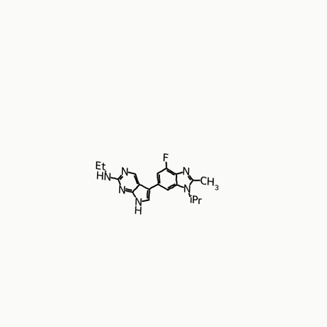 CCNc1ncc2c(-c3cc(F)c4nc(C)n(C(C)C)c4c3)c[nH]c2n1